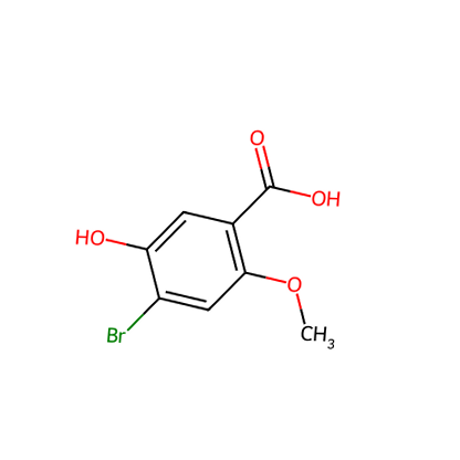 COc1cc(Br)c(O)cc1C(=O)O